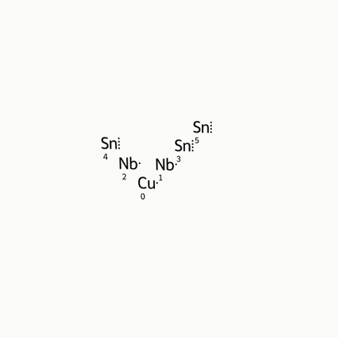 [Cu].[Nb].[Nb].[Sn].[Sn].[Sn]